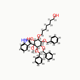 CCOC1(c2c[nH]c3ccccc23)C(O)C(OCCCCCCCO)C(OCc2ccccc2)C(OCc2ccccc2)C1OCc1ccccc1